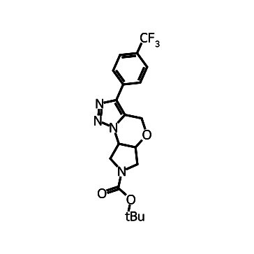 CC(C)(C)OC(=O)N1CC2OCc3c(-c4ccc(C(F)(F)F)cc4)nnn3C2C1